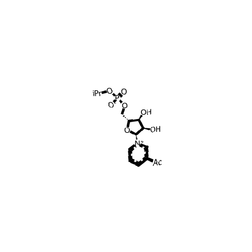 CC(=O)c1ccc[n+]([C@@H]2O[C@H](COP(=O)([O-])OC(C)C)[C@@H](O)[C@H]2O)c1